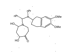 CCCC(N1CCC(=O)C(O)CC1O)N(CCC)C1CCc2cc(OC)c(OC)cc2C1